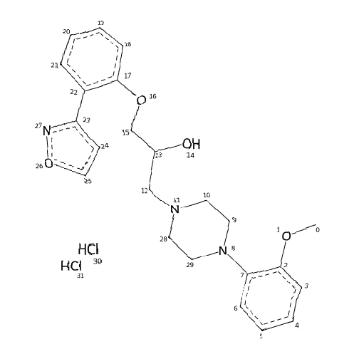 COc1ccccc1N1CCN(CC(O)COc2ccccc2-c2ccon2)CC1.Cl.Cl